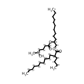 CCCCCCCCCCC(COC(=O)C(CCCC)CCCCCCCCCC)OC(=O)CCCN(C)C